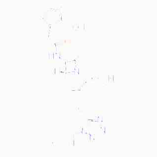 O=C(O)Cn1nnnc1SCC1=C(C(=O)O)N2C(=O)C(NC(=O)Cc3ccsc3C(=O)O)[C@H]2SC1